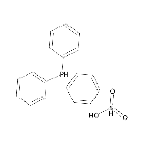 O=[SH](=O)O.c1ccc(Pc2ccccc2)cc1.c1ccccc1